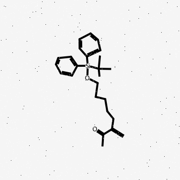 C=C(CCCCCO[Si](c1ccccc1)(c1ccccc1)C(C)(C)C)C(C)=O